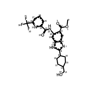 COC(=O)c1cc2nc(C3CCC(CO)CC3)[nH]c2cc1NC(=O)c1cccc(C(F)(F)F)n1